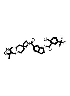 Cc1noc(C)c1CN1CCC2(CC1)CCN(C(=O)c1ccc3c(c1)C(NC(=O)c1cc(C(F)(F)F)ccc1Cl)CC3)C2